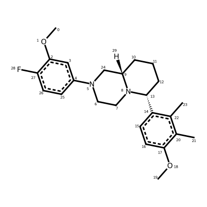 COc1cc(N2CCN3[C@@H](CCC[C@@H]3c3ccc(OC)c(C)c3C)C2)ccc1F